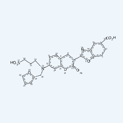 O=C(O)c1ccc2oc(-c3cc4ccc(N(CCCS(=O)(=O)O)Cc5ccco5)cc4oc3=O)nc2c1